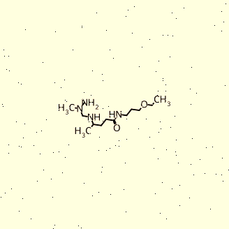 CCOCCCNC(=O)CCC(C)NCN(C)N